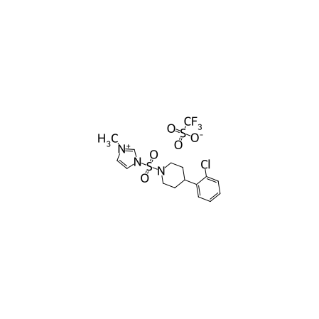 C[n+]1ccn(S(=O)(=O)N2CCC(c3ccccc3Cl)CC2)c1.O=S(=O)([O-])C(F)(F)F